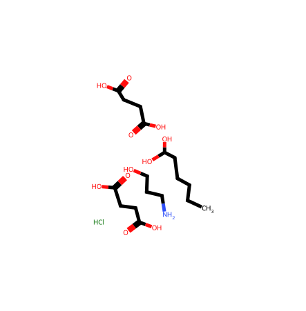 CCCCCC(O)O.Cl.NCCCO.O=C(O)CCC(=O)O.O=C(O)CCC(=O)O